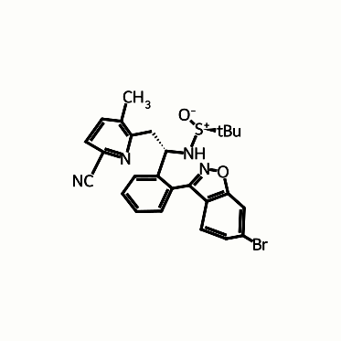 Cc1ccc(C#N)nc1C[C@H](N[S@@+]([O-])C(C)(C)C)c1ccccc1-c1noc2cc(Br)ccc12